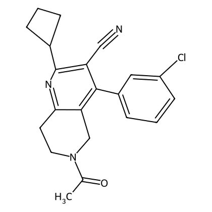 CC(=O)N1CCc2nc(C3CCC3)c(C#N)c(-c3cccc(Cl)c3)c2C1